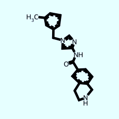 Cc1cccc(Cn2cnc(NC(=O)c3ccc4c(c3)CCNC4)c2)c1